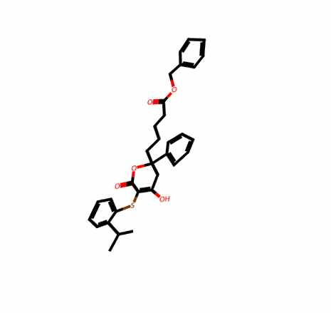 CC(C)c1ccccc1SC1=C(O)CC(CCCCC(=O)OCc2ccccc2)(c2ccccc2)OC1=O